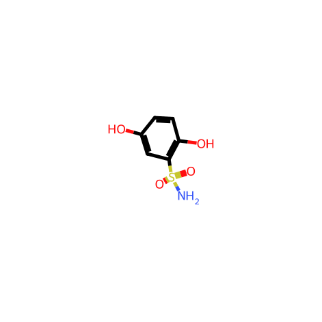 NS(=O)(=O)c1cc(O)ccc1O